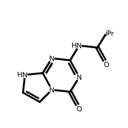 CC(C)C(=O)Nc1nc(=O)n2cc[nH]c2n1